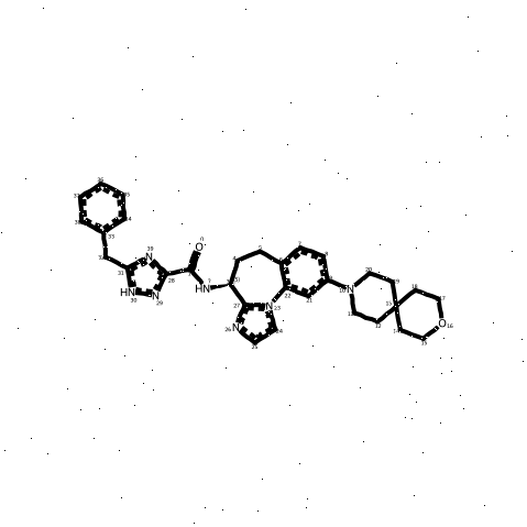 O=C(N[C@H]1CCc2ccc(N3CCC4(CCOCC4)CC3)cc2-n2ccnc21)c1n[nH]c(Cc2ccccc2)n1